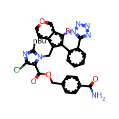 CCCCc1nc(Cl)c(C(=O)OCc2ccc(C(N)=O)cc2)n1Cc1c2ccocc-2c(Br)c1-c1ccccc1-c1nnn[nH]1